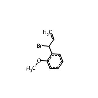 C=CC(Br)c1ccccc1OC